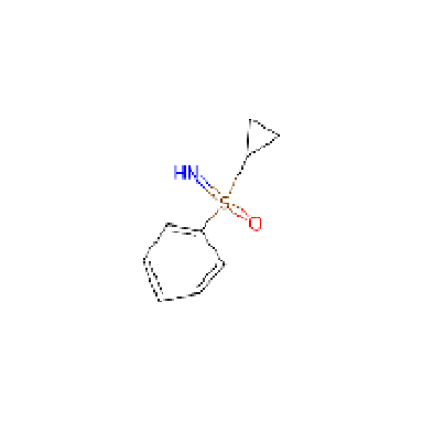 N=S(=O)(c1ccccc1)C1CC1